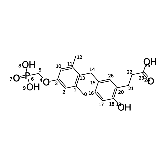 Cc1cc(OCP(=O)(O)O)cc(C)c1Cc1ccc(O)c(CCC(=O)O)c1